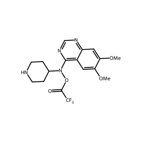 COc1cc2ncnc(N(OC(=O)C(F)(F)F)C3CCNCC3)c2cc1OC